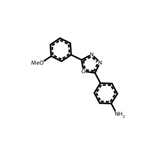 COc1cccc(-c2nnc(-c3ccc(N)cc3)o2)c1